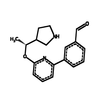 C[C@@H](Oc1cccc(-c2cccc(C=O)c2)n1)C1CCNC1